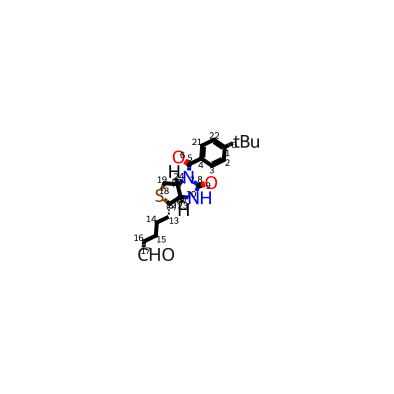 CC(C)(C)c1ccc(C(=O)N2C(=O)N[C@@H]3[C@H](CCCCC=O)SC[C@@H]32)cc1